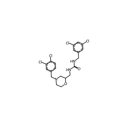 O=C(NCc1cc(Cl)cc(Cl)c1)NCC1CN(Cc2ccc(Cl)c(Cl)c2)CCO1